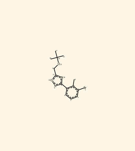 Cc1c(Br)cccc1-c1noc(COC(C)(C)C)n1